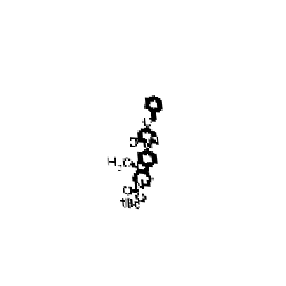 Cn1c2c(c3ccc(-n4ncc(OCc5ccccc5)cc4=O)cc31)CCN(C(=O)OC(C)(C)C)C2